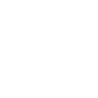 O=C(O)CCCC[CH]c1ccccc1